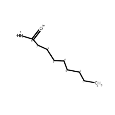 CCCCCCCCC([NH])=O